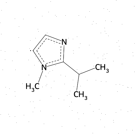 CC(C)c1nc[c]n1C